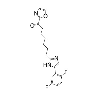 O=C(CCCCCCc1ncc(-c2cc(F)ccc2F)[nH]1)c1ncco1